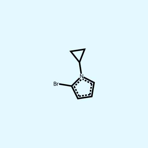 Brc1cccn1C1CC1